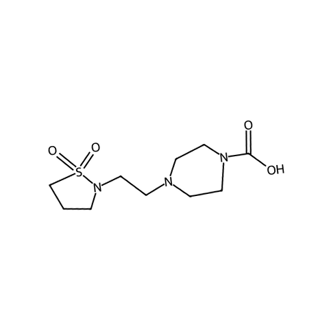 O=C(O)N1CCN(CCN2CCCS2(=O)=O)CC1